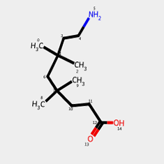 CC(C)(CCN)CC(C)(C)CCC(=O)O